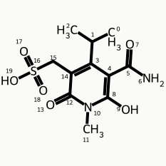 CC(C)c1c(C(N)=O)c(O)n(C)c(=O)c1CS(=O)(=O)O